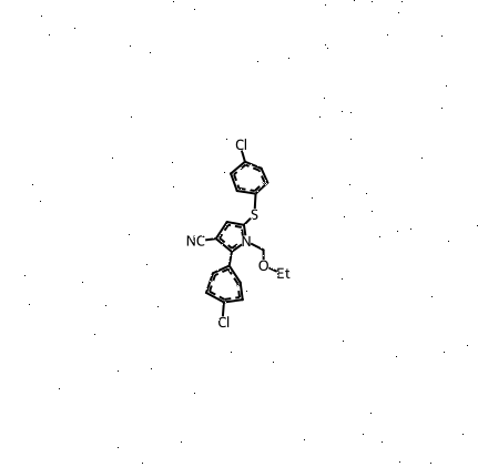 CCOCn1c(Sc2ccc(Cl)cc2)cc(C#N)c1-c1ccc(Cl)cc1